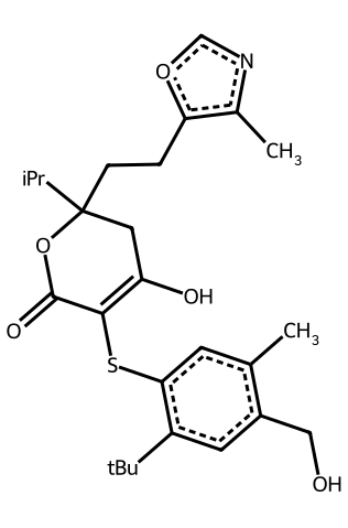 Cc1cc(SC2=C(O)CC(CCc3ocnc3C)(C(C)C)OC2=O)c(C(C)(C)C)cc1CO